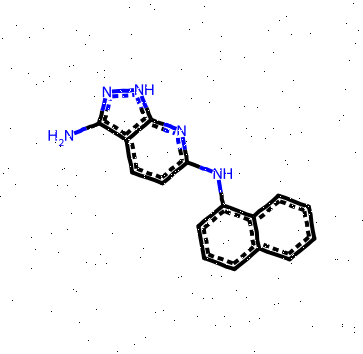 Nc1n[nH]c2nc(Nc3cccc4ccccc34)ccc12